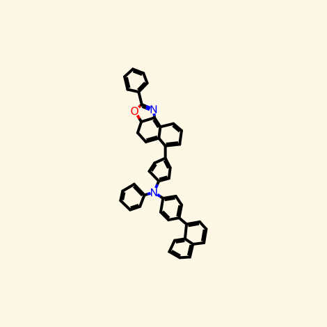 C1=c2c(-c3ccc(N(c4ccccc4)c4ccc(-c5cccc6ccccc56)cc4)cc3)cccc2=C2N=C(c3ccccc3)OC2C1